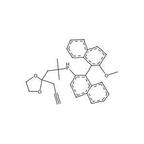 C#CCC1(CC(C)(C)Pc2ccc3ccccc3c2-c2c(OC)ccc3ccccc23)OCCO1